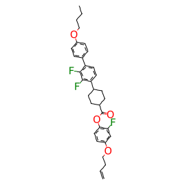 C=CCCOc1ccc(OC(=O)C2CCC(c3ccc(-c4ccc(OCCCC)cc4)c(F)c3F)CC2)c(F)c1